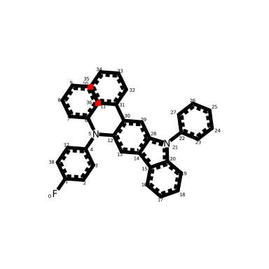 Fc1ccc(N(c2ccccc2)c2cc3c4ccccc4n(-c4ccccc4)c3cc2-c2ccccc2)cc1